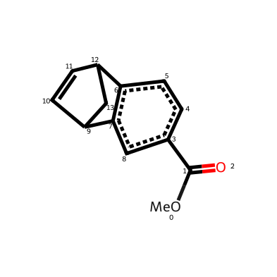 COC(=O)c1ccc2c(c1)C1C=CC2C1